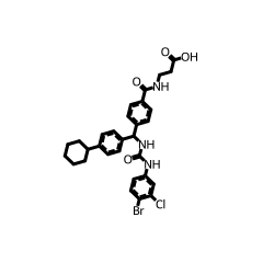 O=C(O)CCNC(=O)c1ccc(C(NC(=O)Nc2ccc(Br)c(Cl)c2)c2ccc(C3CCCCC3)cc2)cc1